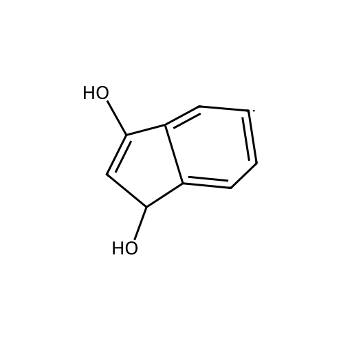 OC1=CC(O)c2cc[c]cc21